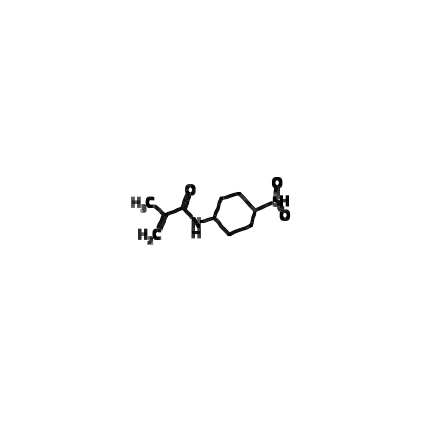 C=C(C)C(=O)NC1CCC([SH](=O)=O)CC1